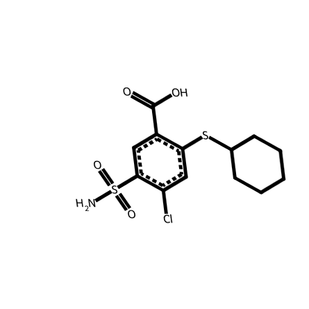 NS(=O)(=O)c1cc(C(=O)O)c(SC2CCCCC2)cc1Cl